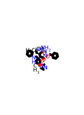 CC(C)C[C@@H](C(=O)NN)[C@H](C(=O)NOCc1ccccc1)C(CNc1ccccc1)(CC(C)C)C(=O)Cn1ccnc1